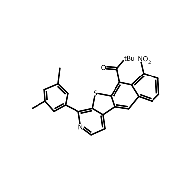 Cc1cc(C)cc(-c2nccc3c2sc2c(C(=O)C(C)(C)C)c4c([N+](=O)[O-])cccc4cc23)c1